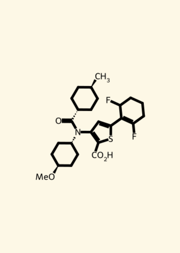 CO[C@H]1CC[C@H](N(c2cc(C3=C(F)CCCC3F)sc2C(=O)O)C(=O)[C@H]2CC[C@H](C)CC2)CC1